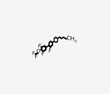 CCCCCC1CCC(c2ccc(-c3cc(F)c(OC=C(F)F)c(F)c3)c(F)c2)CC1